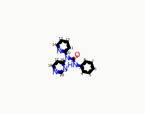 O=C(Nc1ccccc1)N(c1ccccn1)c1ccncn1